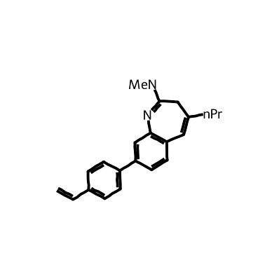 C=Cc1ccc(-c2ccc3c(c2)N=C(NC)CC(CCC)=C3)cc1